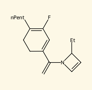 C=C(C1=CC(F)=C(CCCCC)CC1)N1C=CC1CC